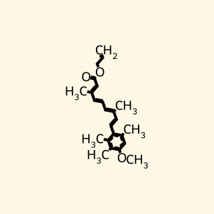 C=CCOC(=O)C=C(C)C=CC=C(C)C=Cc1c(C)cc(OC)c(C)c1C